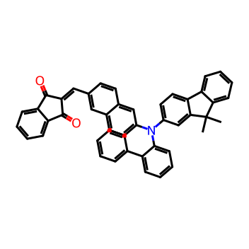 CC1(C)c2ccccc2-c2ccc(N(c3ccc4cc(C=C5C(=O)c6ccccc6C5=O)ccc4c3)c3ccccc3-c3ccccc3)cc21